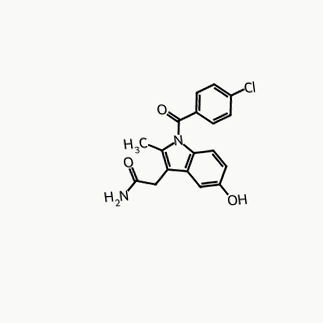 Cc1c(CC(N)=O)c2cc(O)ccc2n1C(=O)c1ccc(Cl)cc1